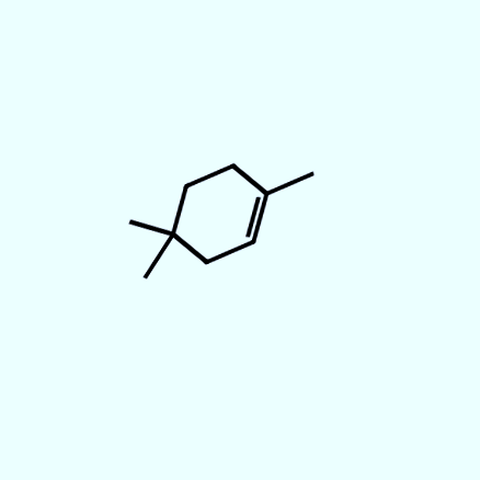 CC1=CCC(C)(C)CC1